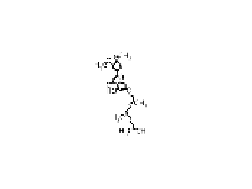 COc1ccc(-c2cc(=O)c3c(O)cc(OCC=C(C)CCC=C(C)CCC=C(C)C)cc3o2)cc1OC